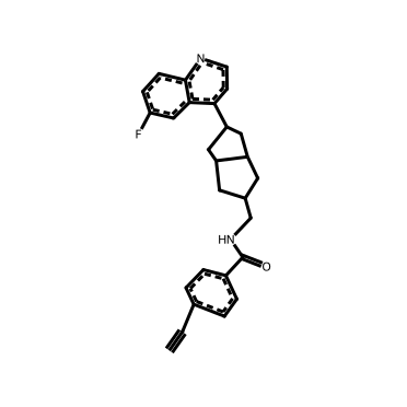 C#Cc1ccc(C(=O)NCC2CC3CC(c4ccnc5ccc(F)cc45)CC3C2)cc1